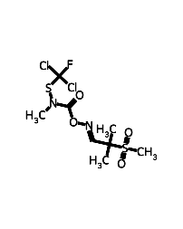 CN(SC(F)(Cl)Cl)C(=O)ON=CC(C)(C)S(C)(=O)=O